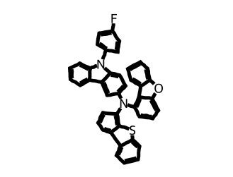 Fc1ccc(-n2c3ccccc3c3cc(N(c4cccc5c4sc4ccccc45)c4cccc5oc6ccccc6c45)ccc32)cc1